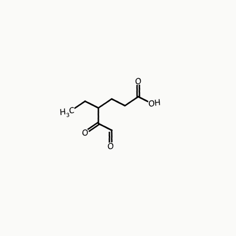 CCC(CCC(=O)O)C(=O)C=O